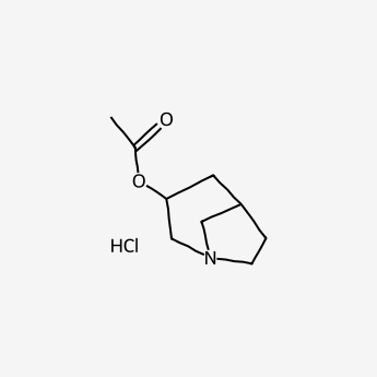 CC(=O)OC1CC2CCN(C2)C1.Cl